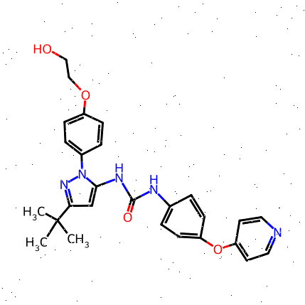 CC(C)(C)c1cc(NC(=O)Nc2ccc(Oc3ccncc3)cc2)n(-c2ccc(OCCO)cc2)n1